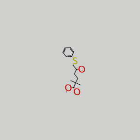 COC(=O)C(C)(C)CCC(=O)CSc1ccccc1